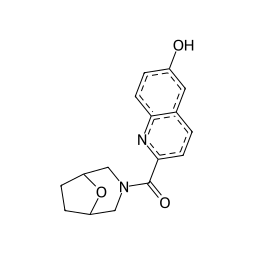 O=C(c1ccc2cc(O)ccc2n1)N1CC2CCC(C1)O2